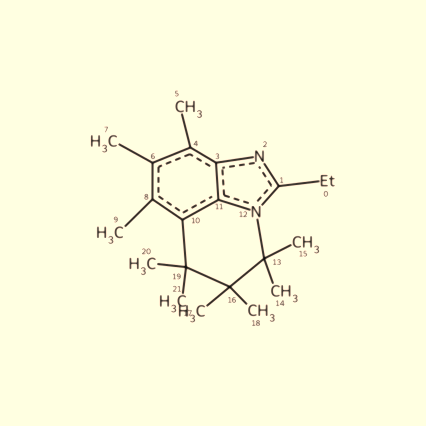 CCc1nc2c(C)c(C)c(C)c3c2n1C(C)(C)C(C)(C)C3(C)C